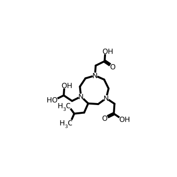 CC(C)CC1CN(CC(=O)O)CCN(CC(=O)O)CCN1CC(O)O